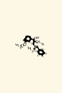 COc1cccc(C(O)=C(C)CN(C)Cc2ccccc2)c1